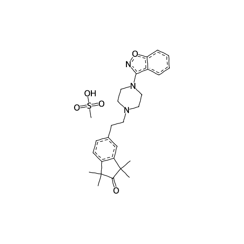 CC1(C)C(=O)C(C)(C)c2cc(CCN3CCN(c4noc5ccccc45)CC3)ccc21.CS(=O)(=O)O